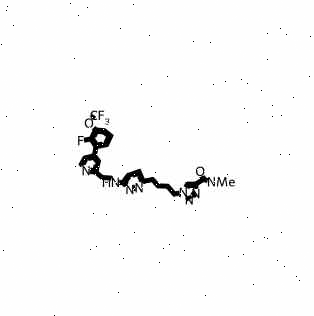 CNC(=O)c1cn(CCCCc2ccc(NCCc3cc(-c4cccc(OC(F)(F)F)c4F)ccn3)nn2)nn1